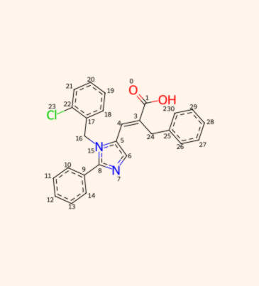 O=C(O)/C(=C/c1cnc(-c2ccccc2)n1Cc1ccccc1Cl)Cc1ccccc1